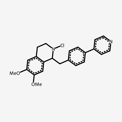 COc1cc2c(cc1OC)C(Cc1ccc(-c3ccncc3)cc1)N(Cl)CC2